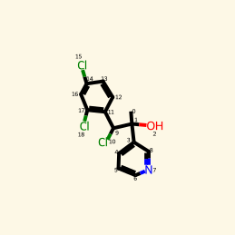 CC(O)(c1cccnc1)C(Cl)c1ccc(Cl)cc1Cl